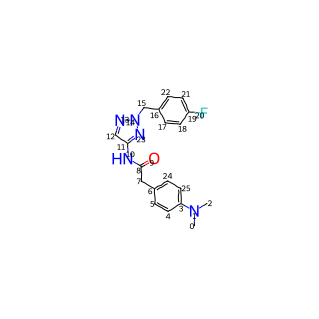 CN(C)c1ccc(CC(=O)Nc2cnn(Cc3ccc(F)cc3)n2)cc1